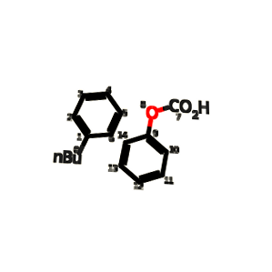 CCCCc1ccccc1.O=C(O)Oc1ccccc1